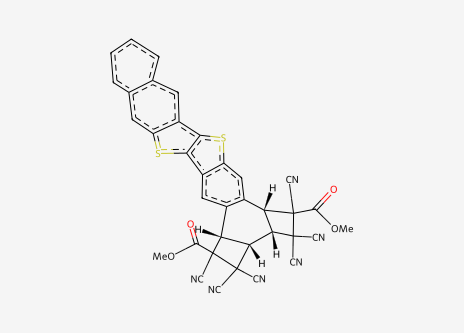 COC(=O)C1(C#N)[C@@H]2c3cc4c(cc3[C@H]3[C@@H]([C@@H]2C1(C#N)C#N)C(C#N)(C#N)C3(C#N)C(=O)OC)sc1c2cc3ccccc3cc2sc41